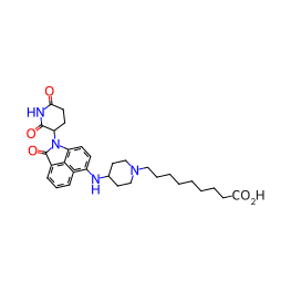 O=C(O)CCCCCCCCN1CCC(Nc2ccc3c4c(cccc24)C(=O)N3C2CCC(=O)NC2=O)CC1